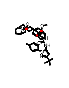 COc1ccccc1CCC(=O)N1C2CCC1CC(Cc1ccc(NC(=O)Nc3cc(C(C)(C)C)nn3-c3ccc(C)cc3)cc1)C2